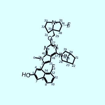 Cn1c(-c2cc(O)cc3cccc(F)c23)cc2c(N3CC4CCC(C3)N4)nc(OC[C@@]34CCCN3C[C@H](F)C4)nc21